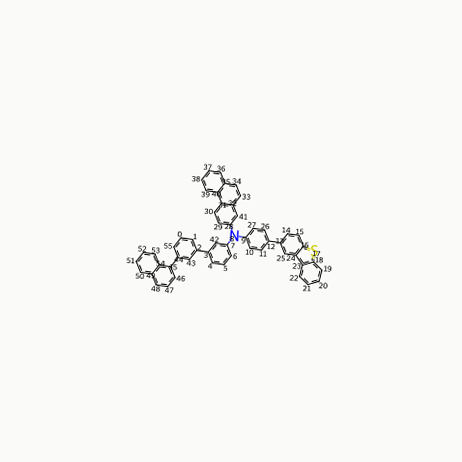 c1cc(-c2cccc(N(c3ccc(-c4ccc5sc6ccccc6c5c4)cc3)c3ccc4c(ccc5ccccc54)c3)c2)cc(-c2cccc3ccccc23)c1